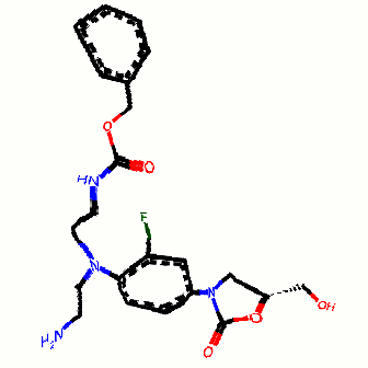 NCCN(CCNC(=O)OCc1ccccc1)c1ccc(N2C[C@H](CO)OC2=O)cc1F